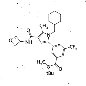 Cc1c(C(=O)NC2COC2)cc(-c2cc(C(=O)N(C)C(C)(C)C)cc(C(F)(F)F)c2)n1CC1CCCCC1